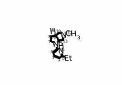 CCc1cccc(N2CC[C@H]3CN(C)C[C@@H]32)n1